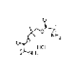 C[C@H](N)C(=O)OCC(C)(C)COC(=O)[C@H](C)N.Cl